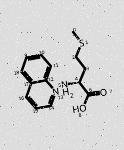 CSCC[C@H](N)C(=O)O.c1ccc2ncccc2c1